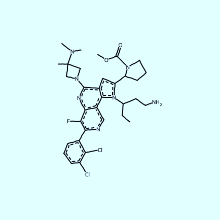 CCC(CCN)n1c(C2CCCN2C(=O)OC)cc2c(N3CC(C)(N(C)C)C3)nc3c(F)c(-c4cccc(Cl)c4Cl)ncc3c21